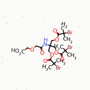 CC(C)(Br)C(=O)OCC(COC(=O)C(C)(C)Br)(COC(=O)C(C)(C)Br)NC(=O)COCC(=O)O